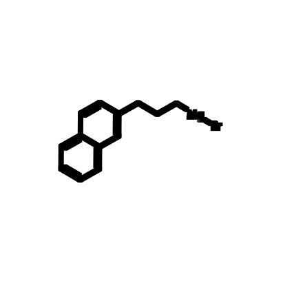 [Br][Mg][CH2]CCc1ccc2ccccc2c1